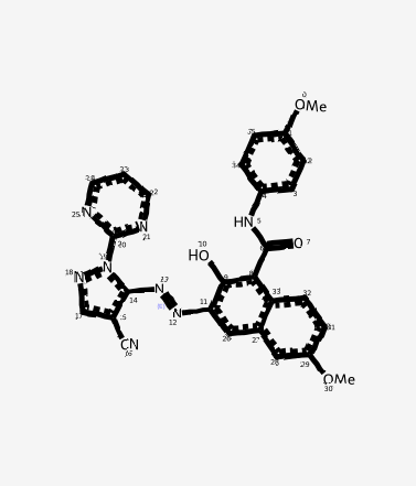 COc1ccc(NC(=O)c2c(O)c(/N=N/c3c(C#N)cnn3-c3ncccn3)cc3cc(OC)ccc23)cc1